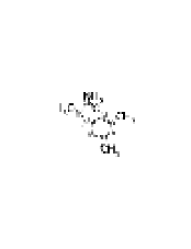 Cc1cc(C)cc(CC(C)C(N)=O)c1